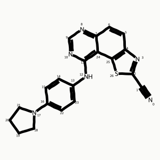 N#Cc1nc2ccc3ncnc(Nc4ccc(N5CCCC5)cc4)c3c2s1